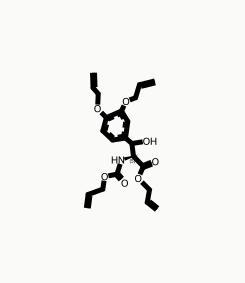 C=CCOC(=O)N[C@H](C(=O)OCC=C)C(O)c1ccc(OCC=C)c(OCC=C)c1